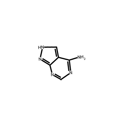 Nc1n[c]nc2n[nH]cc12